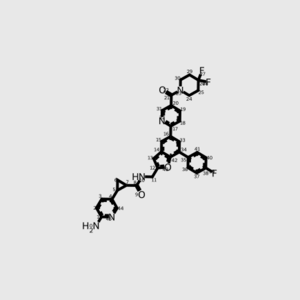 Nc1ccc(C2CC2C(=O)NCc2cc3cc(-c4ccc(C(=O)N5CCC(F)(F)CC5)cn4)cc(-c4ccc(F)cc4)c3o2)cn1